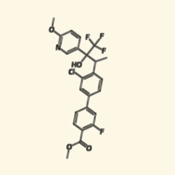 COC(=O)c1ccc(-c2ccc(C(C)C(O)(c3ccc(OC)nc3)C(F)(F)F)c(Cl)c2)cc1F